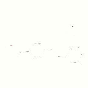 COC(=O)c1ccc(/C=C/c2cc(Cl)cc(Cl)c2OS(=O)(=O)C(F)(F)F)cc1